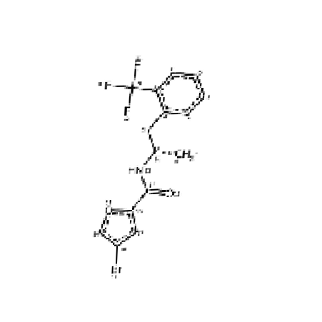 [CH2][C@@H](Cc1ccccc1C(F)(F)F)NC(=O)c1cc(Br)co1